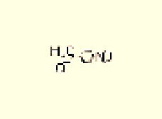 CC(CC=O)c1ccc(N2CCCC2)cc1